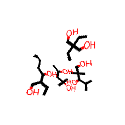 CC(C)C(O)C(C)(C)CO.CC(O)CC(C)(C)O.CCC(CC)(CO)CO.CCCC(O)C(CC)CO